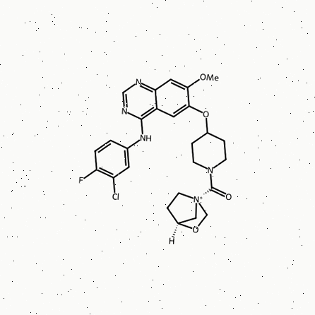 COc1cc2ncnc(Nc3ccc(F)c(Cl)c3)c2cc1OC1CCN(C(=O)[N@@+]23CC[C@@H](C2)OC3)CC1